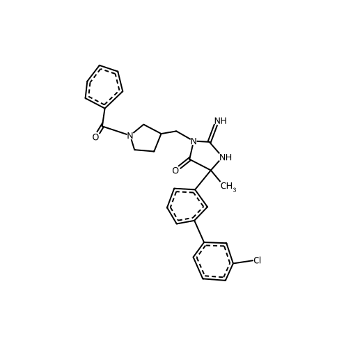 CC1(c2cccc(-c3cccc(Cl)c3)c2)NC(=N)N(CC2CCN(C(=O)c3ccccc3)C2)C1=O